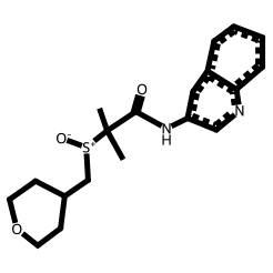 CC(C)(C(=O)Nc1cnc2ccccc2c1)[S+]([O-])CC1CCOCC1